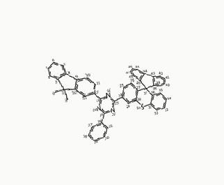 CC1(C)c2ccccc2-c2ccc(-c3nc(-c4ccccc4)nc(-c4ccc5c(c4)Sc4ccccc4C54c5ccccc5-c5ccccc54)n3)cc21